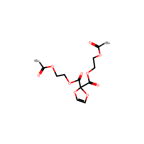 CC(C)(C)C(=O)OCCOC(=O)C1(C(=O)OCCOC(=O)C(C)(C)C)OC=CO1